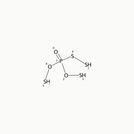 O=P(OS)(OS)SS